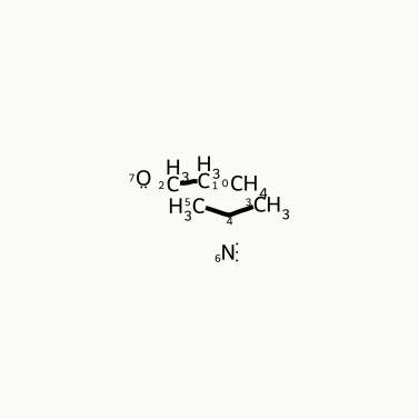 C.CC.CCC.[N].[O]